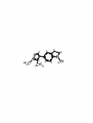 Cc1c(-c2ccc3c(c2)CCN3C(C)C)cnn1C